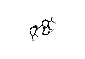 Cc1c(N)cccc1-c1ccc(C(N)=O)c2[nH]ccc12